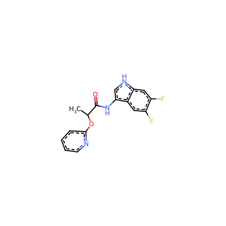 CC(Oc1ccccn1)C(=O)Nc1c[nH]c2cc(F)c(F)cc12